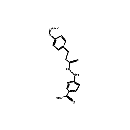 CCCCCCOc1ccc(CCC(=O)NNc2ccc(C(=O)OC)cc2)cc1